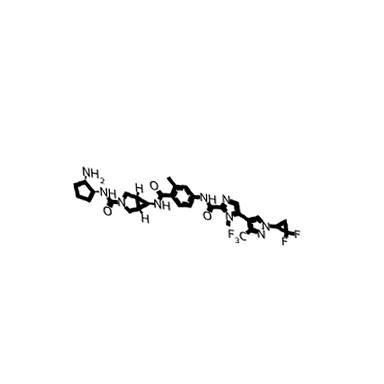 Cc1cc(NC(=O)c2ncc(-c3cn(C4CC4(F)F)nc3C(F)(F)F)n2C)ccc1C(=O)N[C@H]1[C@@H]2CN(C(=O)N[C@@H]3CCC[C@@H]3N)C[C@@H]21